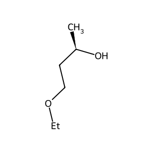 CCOCC[C@@H](C)O